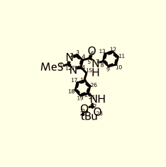 CSc1ncc(C(=O)Nc2ccccc2)c(Cc2cccc(NC(=O)OC(C)(C)C)c2)n1